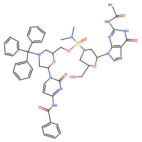 CC(C)C(=O)Nc1nc2c(ncn2C2CN(P(=O)(OCC3CN(C(c4ccccc4)(c4ccccc4)c4ccccc4)CC(n4ccc(NC(=O)c5ccccc5)nc4=O)O3)N(C)C)CC(CO)O2)c(=O)[nH]1